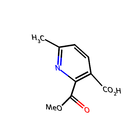 COC(=O)c1nc(C)ccc1C(=O)O